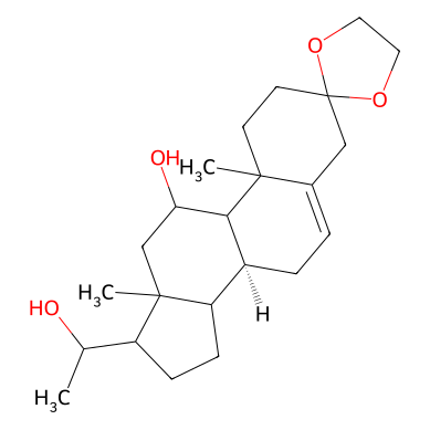 CC(O)C1CCC2[C@@H]3CC=C4CC5(CCC4(C)C3C(O)CC12C)OCCO5